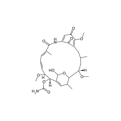 COC1=C2CC(C)C[C@H](OC)C3OC(O)C(=CC3C)[C@H](OC(N)=O)[C@@H](OC)/C=C\C=C(/C)C(=O)NC(=CC1=O)C2=O